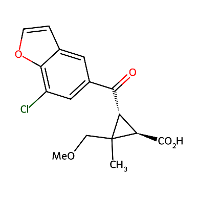 COCC1(C)[C@H](C(=O)O)[C@H]1C(=O)c1cc(Cl)c2occc2c1